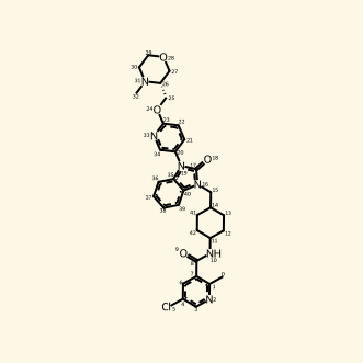 Cc1ncc(Cl)cc1C(=O)NC1CCC(Cn2c(=O)n(-c3ccc(OC[C@H]4COCCN4C)nc3)c3ccccc32)CC1